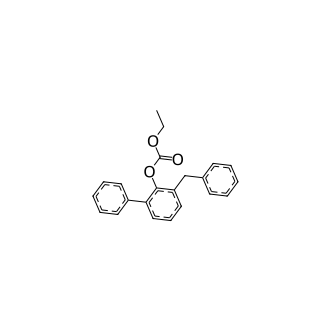 CCOC(=O)Oc1c(Cc2ccccc2)cccc1-c1ccccc1